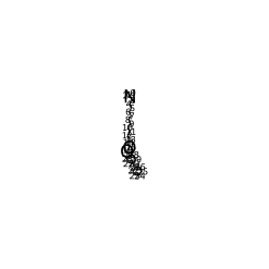 CN(C)CCCCCCCCCCCCOOc1ccc(-c2ccccc2)cc1